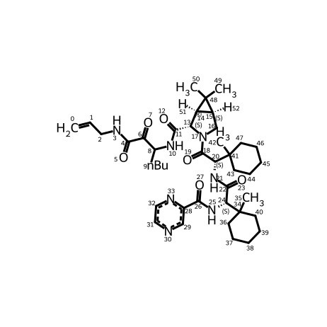 C=CCNC(=O)C(=O)C(CCCC)NC(=O)[C@@H]1[C@@H]2[C@H](CN1C(=O)[C@@H](NC(=O)[C@@H](NC(=O)c1cnccn1)C1(C)CCCCC1)C1(C)CCCCC1)C2(C)C